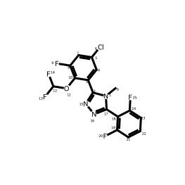 Cn1c(-c2cc(Cl)cc(F)c2OC(F)F)nnc1-c1c(F)cccc1F